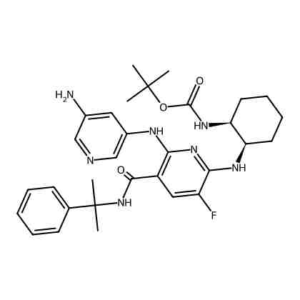 CC(C)(C)OC(=O)N[C@H]1CCCC[C@H]1Nc1nc(Nc2cncc(N)c2)c(C(=O)NC(C)(C)c2ccccc2)cc1F